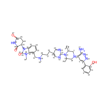 CCC1CN(c2cc(-c3ccccc3O)nnc2N)CC(C)N1c1ncc(CCCN(C)Cc2cccc3c2n(C)c(=O)n3C2CCC(=O)NC2=O)cn1